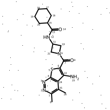 Cc1nnc2sc(C(=O)N3CC(NC(=O)C4CCCCC4)C3)c(N)c2c1C